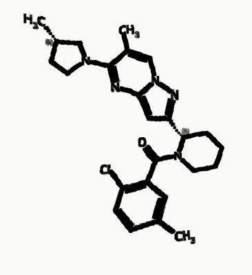 Cc1ccc(Cl)c(C(=O)N2CCCC[C@H]2c2cc3nc(N4CC[C@H](C)C4)c(C)cn3n2)c1